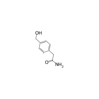 NC(=O)Cc1[c]cc(CO)cc1